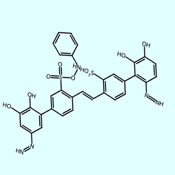 N=Nc1cc(O)c(O)c(-c2ccc(C=Cc3ccc(-c4c(N=N)ccc(O)c4O)cc3S(=O)(=O)O)c(S(=O)(=O)ONc3ccccc3)c2)c1